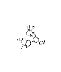 Cc1cc(-c2cc(C#N)cc3cc4n(c23)CCCNC4=O)ccc1F